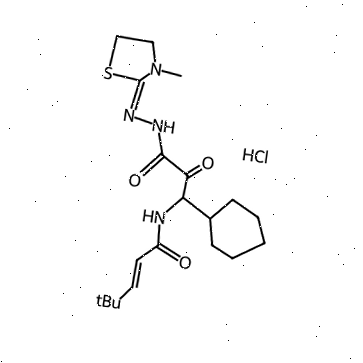 CN1CCSC1=NNC(=O)C(=O)C(NC(=O)C=CC(C)(C)C)C1CCCCC1.Cl